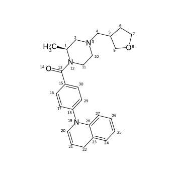 C[C@H]1CN(CC2CCOC2)CCN1C(=O)c1ccc(N2C=CCc3ccccc32)cc1